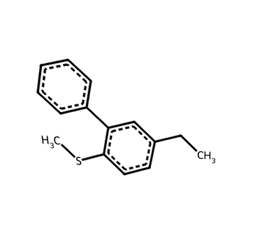 CCc1ccc(SC)c(-c2ccccc2)c1